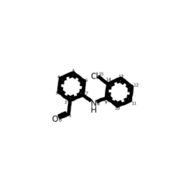 O=Cc1ccccc1Nc1ccccc1Cl